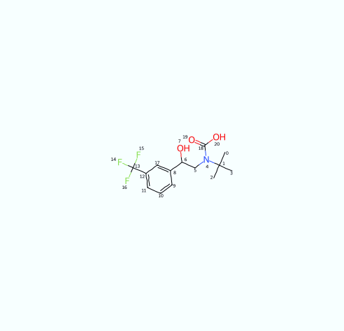 CC(C)(C)N(CC(O)c1cccc(C(F)(F)F)c1)C(=O)O